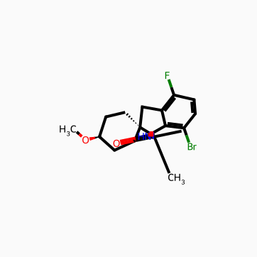 CO[C@H]1CC[C@]2(CC1)Cc1c(F)ccc(Br)c1C21N=C(C)NC1=O